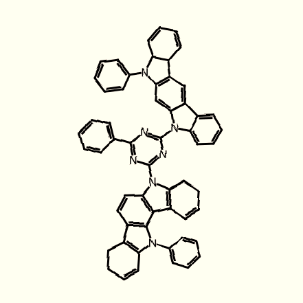 C1=CC2c3cc4c5ccccc5n(-c5nc(-c6ccccc6)nc(-n6c7c(c8c6ccc6c9c(n(-c%10ccccc%10)c68)C=CCC9)C=CCC7)n5)c4cc3N(c3ccccc3)C2C=C1